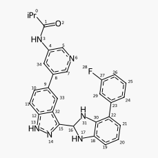 CC(C)C(=O)Nc1cncc(-c2ccc3[nH]nc(C4Nc5cccc(-c6cccc(F)c6)c5N4)c3c2)c1